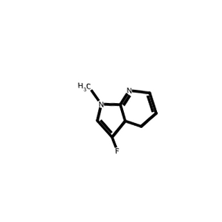 CN1C=C(F)C2CC=CN=C21